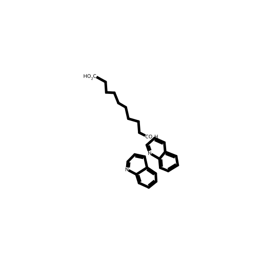 O=C(O)CCCCCCCCC(=O)O.c1ccc2ncccc2c1.c1ccc2ncccc2c1